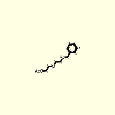 CC(=O)OCCOCCOCc1ccccc1